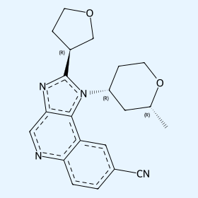 C[C@@H]1C[C@H](n2c([C@H]3CCOC3)nc3cnc4ccc(C#N)cc4c32)CCO1